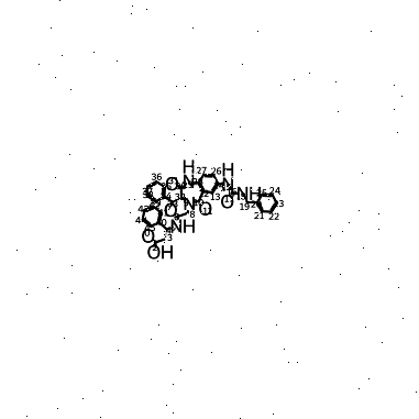 O=C(O)C[C@@H](NC(=O)CN1C(=O)c2cc(NC(=O)NCc3ccccc3)ccc2NC(=O)[C@@H]1Cc1ccccc1)c1ccccc1